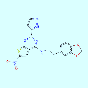 O=[N+]([O-])c1cc2c(NCCc3ccc4c(c3)OCO4)nc(-c3cc[nH]n3)nc2s1